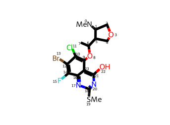 CNC1COCC1C(C)Oc1c(Cl)c(Br)c(F)c2nc(SC)nc(O)c12